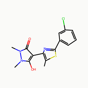 Cc1sc(-c2cccc(Cl)c2)nc1-c1c(O)n(C)n(C)c1=O